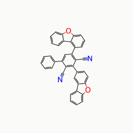 N#Cc1c(-c2ccccc2)cc(-c2cccc3oc4ccccc4c23)c(C#N)c1-c1ccc2oc3ccccc3c2c1